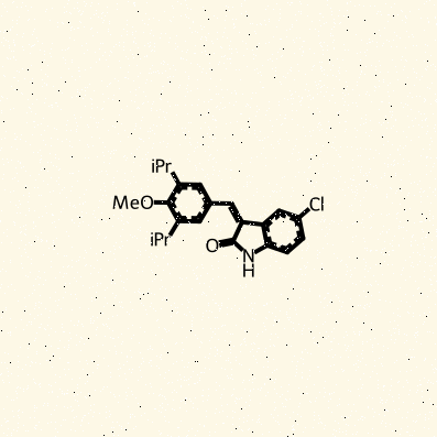 COc1c(C(C)C)cc(C=C2C(=O)Nc3ccc(Cl)cc32)cc1C(C)C